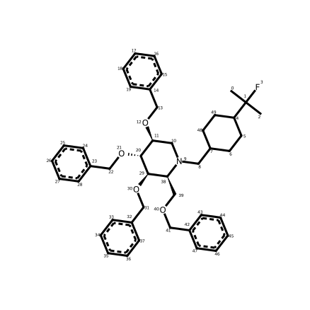 CC(C)(F)C1CCC(CN2C[C@H](OCc3ccccc3)[C@@H](OCc3ccccc3)[C@H](OCc3ccccc3)[C@@H]2COCc2ccccc2)CC1